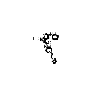 Cn1nc(C(=O)NC2CCN(CCN3CCCC3)CC2)c2cc(NC3CCCCC3)cnc21